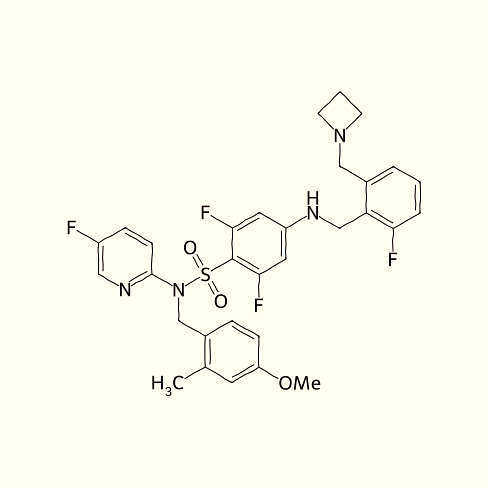 COc1ccc(CN(c2ccc(F)cn2)S(=O)(=O)c2c(F)cc(NCc3c(F)cccc3CN3CCC3)cc2F)c(C)c1